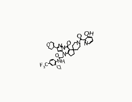 O=C(Cn1c2c(c(=O)n3nc(C4=CCOCC4)cc13)C1(CC2)CCN(C(=O)c2ncccc2O)CC1)Nc1ccc(C(F)(F)F)cc1Cl